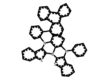 c1ccc(N2c3cccc4c3B(c3sc5ccccc5c32)c2sc3ccccc3c2N4c2ccccc2-c2cccc3c4ccccc4c4ccccc4c23)cc1